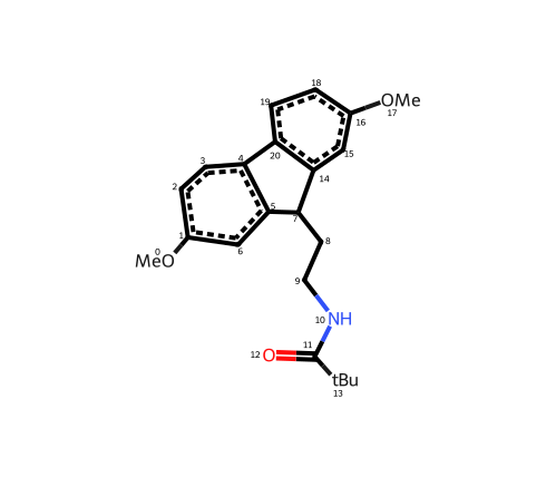 COc1ccc2c(c1)C(CCNC(=O)C(C)(C)C)c1cc(OC)ccc1-2